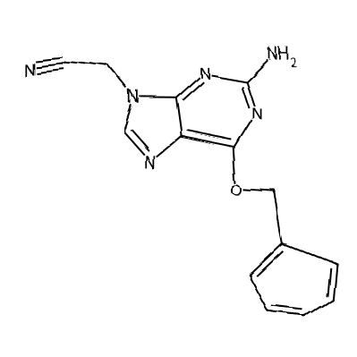 N#CCn1cnc2c(OCc3ccccc3)nc(N)nc21